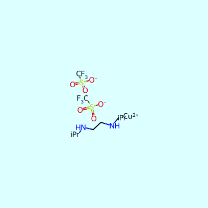 CC(C)NCCNC(C)C.O=S(=O)([O-])C(F)(F)F.O=S(=O)([O-])C(F)(F)F.[Cu+2]